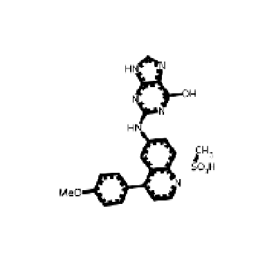 COc1ccc(-c2ccnc3ccc(Nc4nc(O)c5nc[nH]c5n4)cc23)cc1.CS(=O)(=O)O